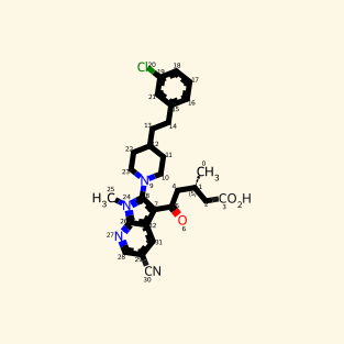 C[C@H](CC(=O)O)CC(=O)c1c(N2CCC(CCc3cccc(Cl)c3)CC2)n(C)c2ncc(C#N)cc12